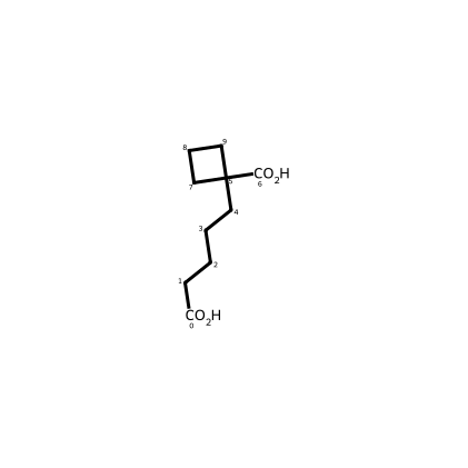 O=C(O)CCCCC1(C(=O)O)CCC1